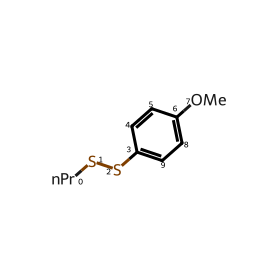 CCCSSc1ccc(OC)cc1